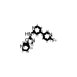 Fc1ccc(-c2ccnc(NC3=NC[C@]4(CN5CCC4CC5)O3)c2)cn1